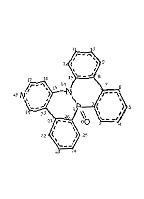 O=P12c3ccccc3-c3ccccc3N1c1ccncc1-c1ccccc12